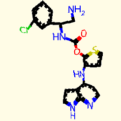 NCC(NC(=O)Oc1sccc1Nc1ccnc2[nH]ccc12)c1cccc(Cl)c1